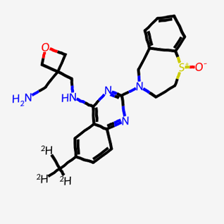 [2H]C([2H])([2H])c1ccc2nc(N3CC[S+]([O-])c4ccccc4C3)nc(NCC3(CN)COC3)c2c1